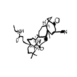 CCNC(=O)CC[C@]12CCC(C)(C)C[C@H]1[C@H]1C(=O)C=C3[C@@]4(C)C=C(C#N)C(=O)C5(CC5)[C@@H]4CC[C@@]3(C)[C@]1(C)CC2